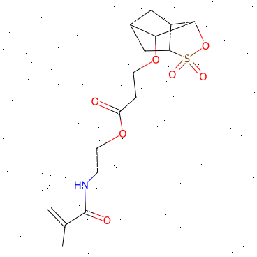 C=C(C)C(=O)NCCOC(=O)CCOC1C2CC3C1OS(=O)(=O)C3C2